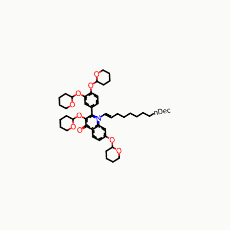 CCCCCCCCCCCCCCCCC=Cn1c(-c2ccc(OC3CCCCO3)c(OC3CCCCO3)c2)c(OC2CCCCO2)c(=O)c2ccc(OC3CCCCO3)cc21